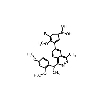 COc1ccc(N(C)c2nnc(C)c3cc(-c4cc(B(O)O)cc(F)c4OC)ccc23)c(OC)c1